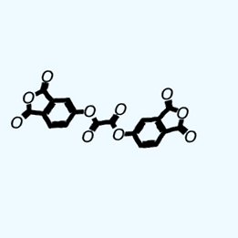 O=C(Oc1ccc2c(c1)C(=O)OC2=O)C(=O)Oc1ccc2c(c1)C(=O)OC2=O